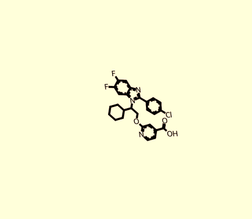 O=C(O)c1ccnc(OCC(C2CCCCC2)n2c(-c3ccc(Cl)cc3)nc3cc(F)c(F)cc32)c1